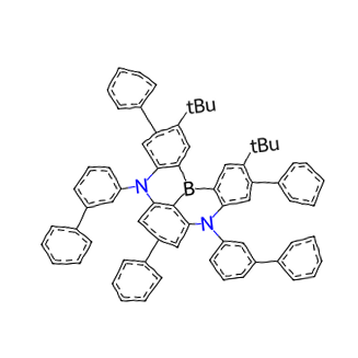 CC(C)(C)c1cc2c(cc1-c1ccccc1)N(c1cccc(-c3ccccc3)c1)c1cc(-c3ccccc3)cc3c1B2c1cc(C(C)(C)C)c(-c2ccccc2)cc1N3c1cccc(-c2ccccc2)c1